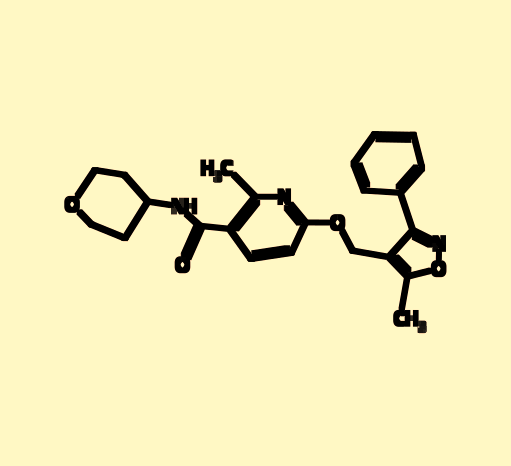 Cc1nc(OCc2c(-c3ccccc3)noc2C)ccc1C(=O)NC1CCOCC1